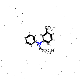 O=C(O)CN(c1ccccc1)c1cccc(C(=O)O)c1